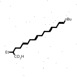 CCCC/C=C/C/C=C/CC/C=C/C/C=C/CCC(CC)C(=O)O